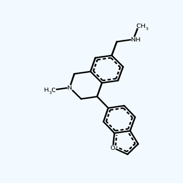 CNCc1ccc2c(c1)CN(C)CC2c1ccc2ccoc2c1